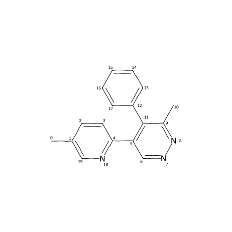 Cc1ccc(-c2cnnc(C)c2-c2ccccc2)nc1